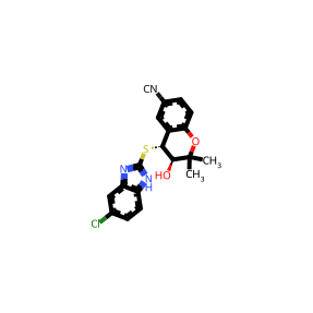 [C-]#[N+]c1ccc2c(c1)[C@@H](Sc1nc3cc(Cl)ccc3[nH]1)[C@H](O)C(C)(C)O2